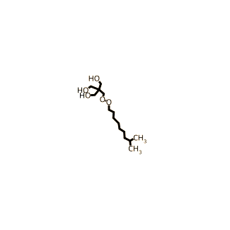 CC(C)CCCCCCCOOCC(CO)(CO)CO